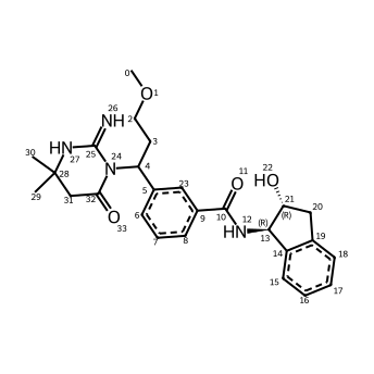 COCCC(c1cccc(C(=O)N[C@@H]2c3ccccc3C[C@H]2O)c1)N1C(=N)NC(C)(C)CC1=O